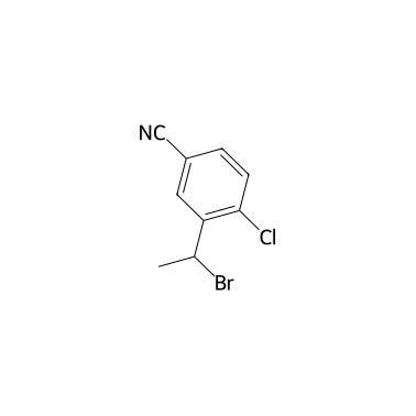 CC(Br)c1cc(C#N)ccc1Cl